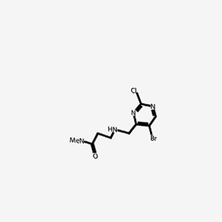 CNC(=O)CCNCc1nc(Cl)ncc1Br